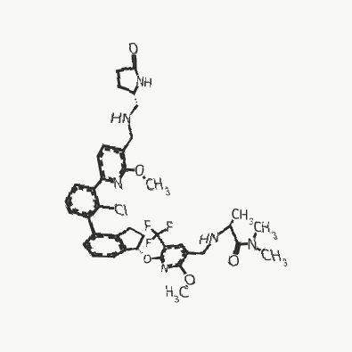 COc1nc(-c2cccc(-c3cccc4c3CC[C@@H]4Oc3nc(OC)c(CN[C@@H](C)C(=O)N(C)C)cc3C(F)(F)F)c2Cl)ccc1CNC[C@@H]1CCC(=O)N1